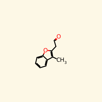 Cc1c(CC=O)oc2ccccc12